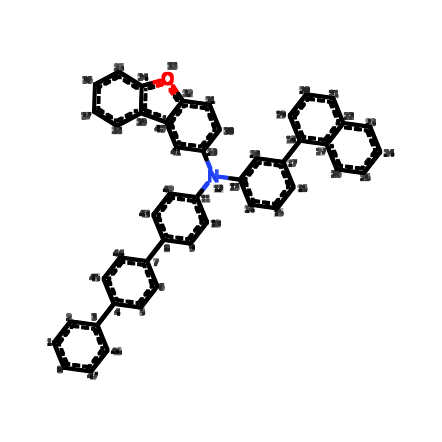 c1ccc(-c2ccc(-c3ccc(N(c4cccc(-c5cccc6ccccc56)c4)c4ccc5oc6ccccc6c5c4)cc3)cc2)cc1